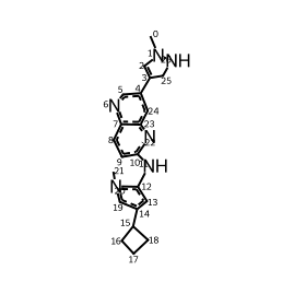 CN1C=C(c2cnc3ccc(Nc4cc(C5CCC5)cn4C)nc3c2)CN1